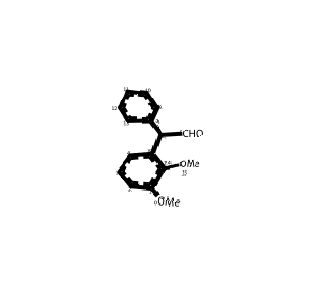 COc1cccc(C(C=O)c2ccccc2)c1OC